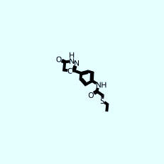 CCSCC(=O)Nc1ccc(C2=NNC(=O)CC2)cc1